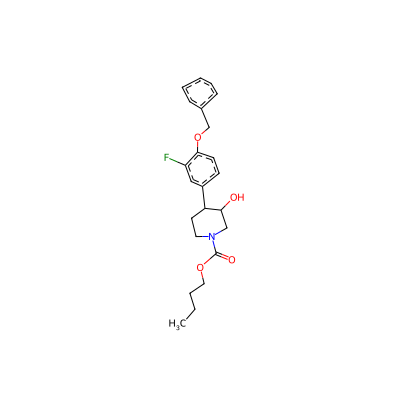 CCCCOC(=O)N1CCC(c2ccc(OCc3ccccc3)c(F)c2)C(O)C1